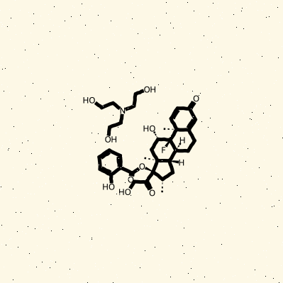 C[C@H]1C[C@H]2[C@@H]3CCC4=CC(=O)C=C[C@]4(C)[C@@]3(F)[C@@H](O)C[C@]2(C)[C@@]1(OC(=O)c1ccccc1O)C(=O)CO.OCCN(CCO)CCO